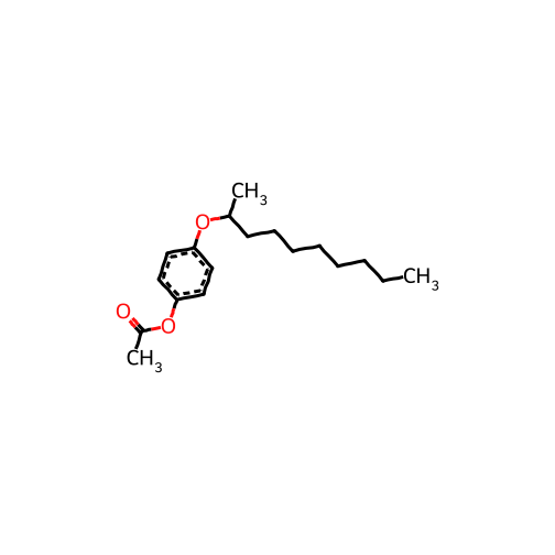 CCCCCCCCC(C)Oc1ccc(OC(C)=O)cc1